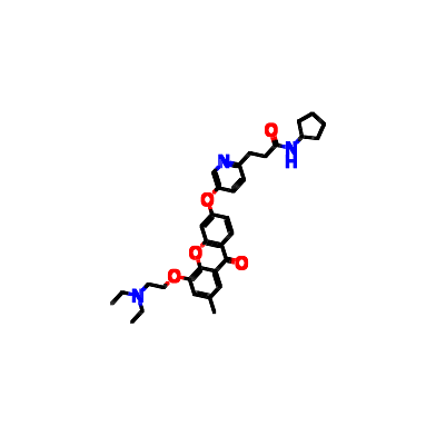 CCN(CC)CCOc1cc(C)cc2c(=O)c3ccc(Oc4ccc(CCC(=O)NC5CCCC5)nc4)cc3oc12